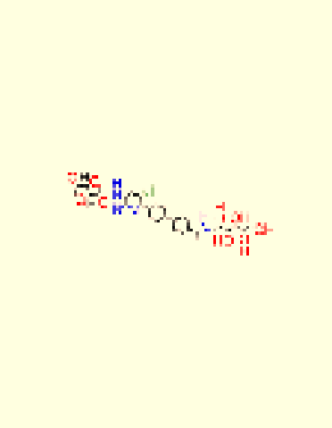 CC(NC[C@H](O)[C@@H](O)[C@H](O)[C@H](O)CO)c1ccc(-c2ccc(-c3nc4nc(O[C@@H]5CO[C@H]6[C@@H]5OC[C@H]6O)[nH]c4cc3Cl)cc2)cc1